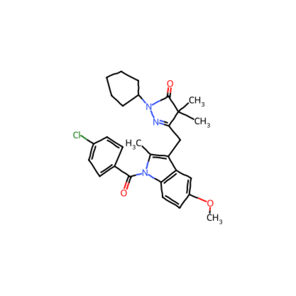 COc1ccc2c(c1)c(CC1=NN(C3CCCCC3)C(=O)C1(C)C)c(C)n2C(=O)c1ccc(Cl)cc1